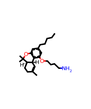 CCCCCc1cc(OCCCCN)c2c(c1)OC(C)(C)[C@@H]1CCC(C)=C[C@@H]21